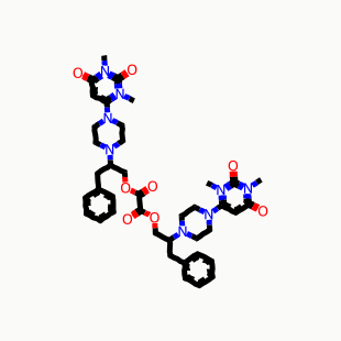 Cn1c(N2CCN(C(COC(=O)C(=O)OCC(Cc3ccccc3)N3CCN(c4cc(=O)n(C)c(=O)n4C)CC3)Cc3ccccc3)CC2)cc(=O)n(C)c1=O